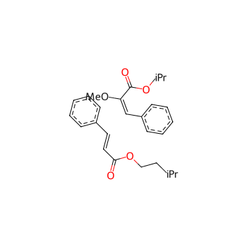 CC(C)CCOC(=O)C=Cc1ccccc1.COC(=Cc1ccccc1)C(=O)OC(C)C